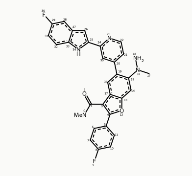 CNC(=O)c1c(-c2ccc(F)cc2)oc2cc(N(C)N)c(-c3ccnc(-c4cc5cc(F)ccc5[nH]4)c3)cc12